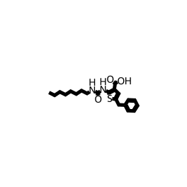 CCCCCCCCNC(=O)Nc1sc(Cc2ccccc2)cc1C(=O)O